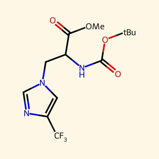 COC(=O)C(Cn1cnc(C(F)(F)F)c1)NC(=O)OC(C)(C)C